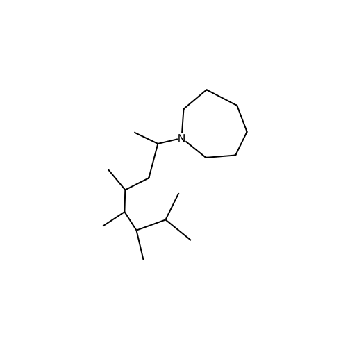 CC(C)C(C)C(C)C(C)CC(C)N1CCCCCC1